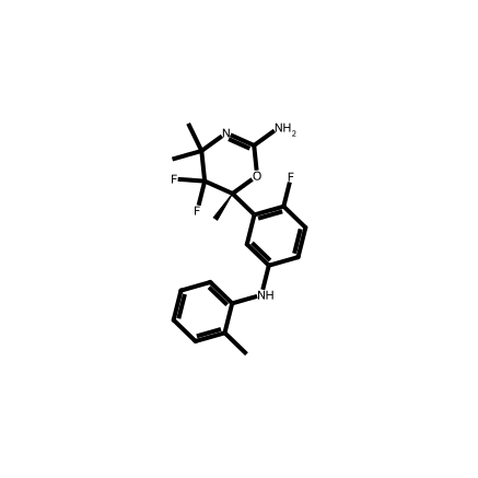 Cc1ccccc1Nc1ccc(F)c([C@@]2(C)OC(N)=NC(C)(C)C2(F)F)c1